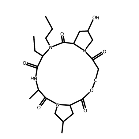 CCCN1C(=O)C2CC(O)CN2C(=O)CCOC(=O)C2CC(C)CN2C(=O)C(C)NC(=O)C1CC